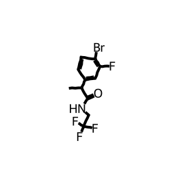 CC(C(=O)NCC(F)(F)F)c1ccc(Br)c(F)c1